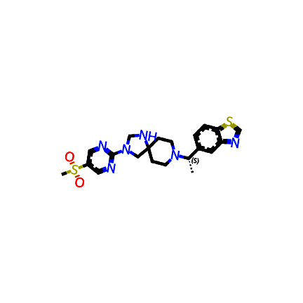 C[C@@H](c1ccc2scnc2c1)N1CCC2(CC1)CN(c1ncc(S(C)(=O)=O)cn1)CN2